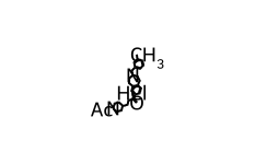 CC(=O)N1CCC(CCC(=O)c2ccc3c(c2)CCN(Cc2cccc(C)c2)CC3)CC1.Cl